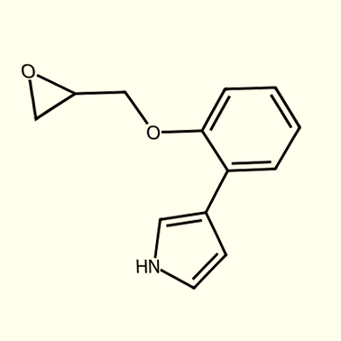 c1ccc(-c2cc[nH]c2)c(OCC2CO2)c1